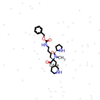 COC(=O)[C@@](CCCCNC(=O)OCc1ccccc1)(CC1CCCNC1)N(C)C(=O)[C@@H]1CCCN1